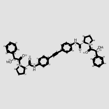 O=C(Nc1ccc(C#Cc2ccc(NC(=O)[C@@H]3CCCN3C(=O)[C@H](O)c3ccccc3)cc2)cc1)[C@@H]1CCCN1C(=O)[C@H](O)c1ccccc1